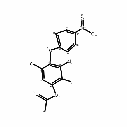 CC(=O)Oc1cc(Cl)c(Oc2ccc([N+](=O)[O-])cc2)c(Cl)c1C